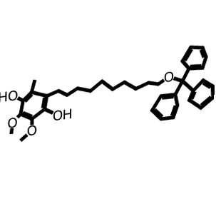 COc1c(O)c(C)c(CCCCCCCCCCOC(c2ccccc2)(c2ccccc2)c2ccccc2)c(O)c1OC